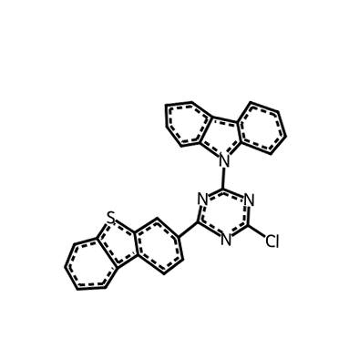 Clc1nc(-c2ccc3c(c2)sc2ccccc23)nc(-n2c3ccccc3c3ccccc32)n1